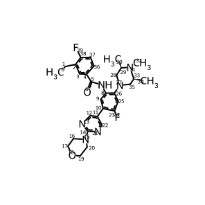 CCc1cc(C(=O)Nc2cc(-c3cnc(N4CCOCC4)nc3)c(F)cc2N2C[C@@H](C)N(C)[C@@H](C)C2)ccc1F